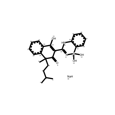 CC(C)CCC1(C)C(=O)C(C2=NS(O)(O)c3ccccc3N2)=C(O)c2ccccc21.[NaH]